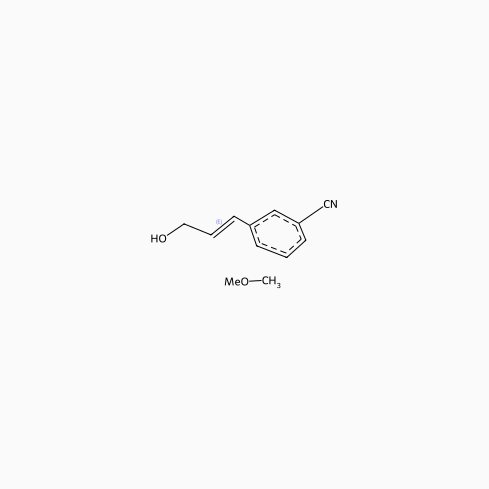 COC.N#Cc1cccc(/C=C/CO)c1